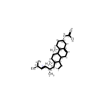 CC[C@H](/C=C/[C@@H](C)[C@H]1CCC2C3CC=C4C[C@@H](OC(=O)Cl)CC[C@]4(C)C3CC[C@@]21C)C(C)C